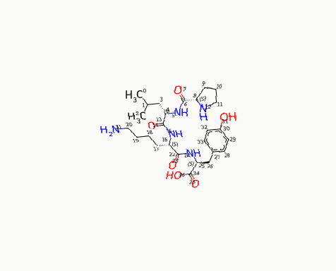 CC(C)C[C@H](NC(=O)[C@@H]1CCCN1)C(=O)N[C@@H](CCCCN)C(=O)N[C@@H](Cc1ccc(O)cc1)C(=O)O